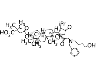 CC(C)C1=C2[C@H]3CC[C@@H]4[C@@]5(C)CC[C@H](OC(=O)CC(C)(C)C(=O)O)C(C)(C)[C@@H]5CC[C@@]4(C)[C@]3(C)CC[C@@]2(C(=O)CN(CCCCO)Cc2ccccc2)CC1=O